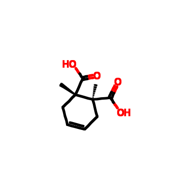 C[C@]1(C(=O)O)CC=CC[C@]1(C)C(=O)O